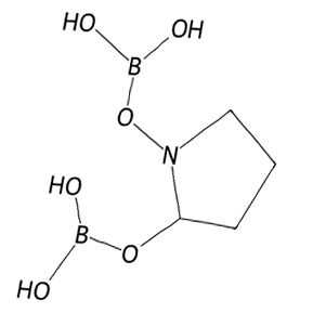 OB(O)OC1CCCN1OB(O)O